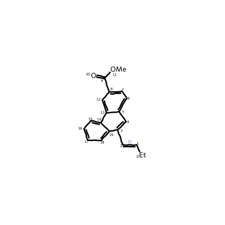 CC/C=C/c1cc2ccc(C(=O)OC)cc2c2ccccc12